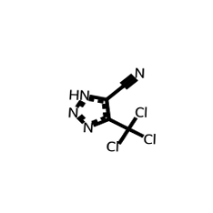 N#Cc1[nH]nnc1C(Cl)(Cl)Cl